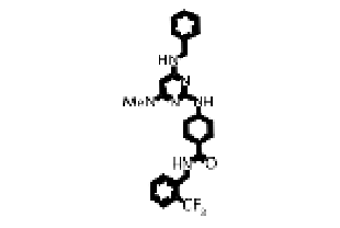 CNc1cc(NCc2ccccc2)nc(NC2CCC(C(=O)NCc3ccccc3C(F)(F)F)CC2)n1